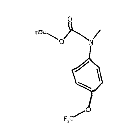 CN(C(=O)OC(C)(C)C)c1ccc(OC(F)(F)F)cc1